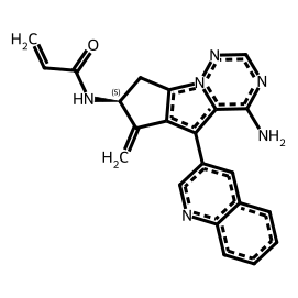 C=CC(=O)N[C@H]1Cc2c(c(-c3cnc4ccccc4c3)c3c(N)ncnn23)C1=C